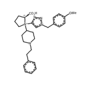 COc1ccc(Cn2cc([N+]3(C4CCN(CCc5ccccc5)CC4)CCC[C@H]3C(=O)O)nn2)cc1